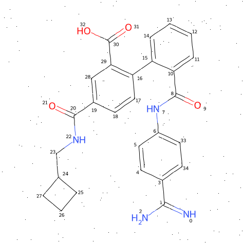 N=C(N)c1ccc(NC(=O)c2ccccc2-c2ccc(C(=O)NCC3CCC3)cc2C(=O)O)cc1